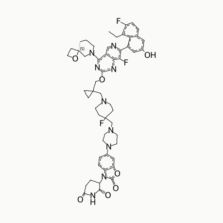 CCc1c(F)ccc2cc(O)cc(-c3ncc4c(N5CCC[C@]6(CCO6)C5)nc(OCC5(CN6CCC(F)(CN7CCN(c8ccc9c(c8)oc(=O)n9C8CCC(=O)NC8=O)CC7)CC6)CC5)nc4c3F)c12